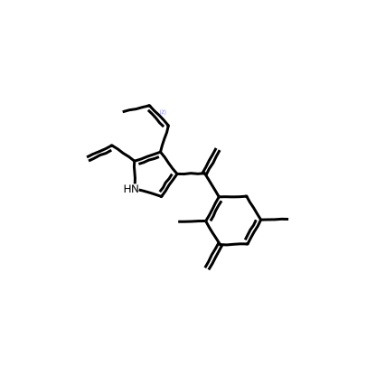 C=Cc1[nH]cc(C(=C)C2=C(C)C(=C)C=C(C)C2)c1/C=C\C